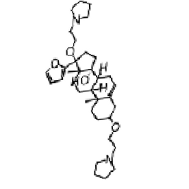 C[C@]12CCC(OCCN3CCCC3)CC1=CC[C@@H]1[C@H]2CC[C@]2(C)C(OCCN3CCCC3)(c3ccco3)CC[C@@]12O